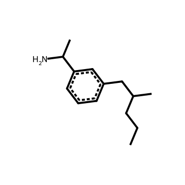 CCCC(C)Cc1cccc(C(C)N)c1